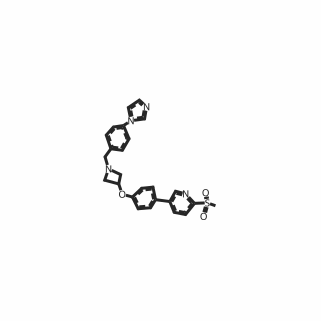 CS(=O)(=O)c1ccc(-c2ccc(OC3CN(Cc4ccc(-n5ccnc5)cc4)C3)cc2)cn1